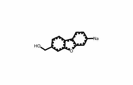 OCc1ccc2c(c1)oc1c[c]([Na])ccc12